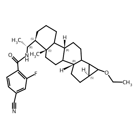 CCOC1C2C3CC[C@@H]4C(CC[C@@]5(C)C4CCC[C@@H]5[C@@H](C)NC(=O)c4ccc(C#N)cc4F)[C@H]3CC[C@H]12